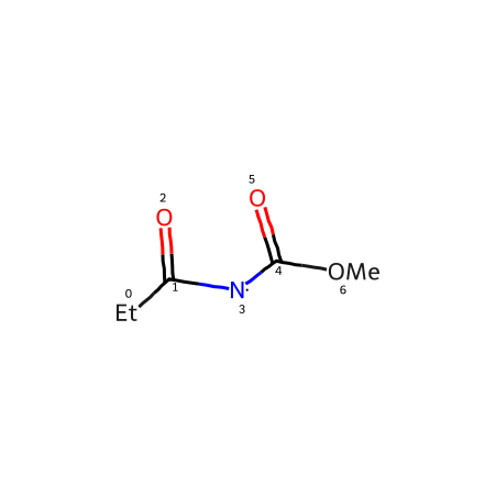 CCC(=O)[N]C(=O)OC